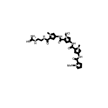 CNn1cccc1C(=O)Nc1cc(C(=O)Nc2cc(C(=O)Nc3cc(C(=O)NCCNC(=N)N)n(C)c3)n(C)c2)n(C)c1.Cl